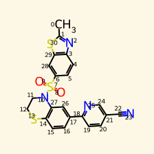 Cc1nc2ccc(S(=O)(=O)N3CCSc4ccc(-c5ccc(C#N)cn5)cc43)cc2s1